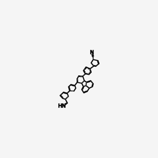 N#CC1C=CC=C(c2ccc(C3=CC=C(C4=CC=C(C5=CC=CC(C=N)C5)CC4)C4C5=CC=CC6C=CC=C(C56)C34)cc2)C1